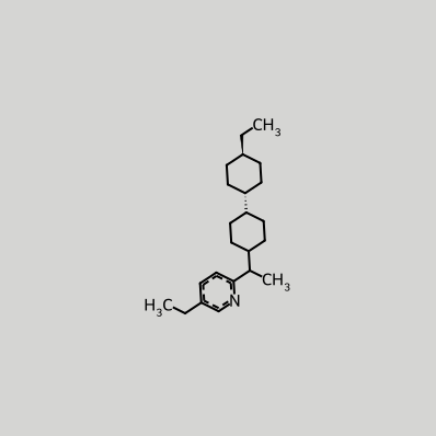 CCc1ccc(C(C)C2CCC([C@H]3CC[C@H](CC)CC3)CC2)nc1